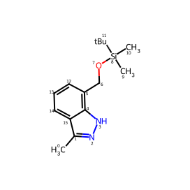 Cc1n[nH]c2c(CO[Si](C)(C)C(C)(C)C)cccc12